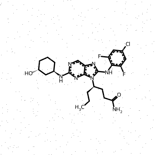 CCC[C@H](CCC(N)=O)n1c(Nc2c(F)cc(Cl)cc2F)nc2cnc(N[C@@H]3CCC[C@@H](O)C3)nc21